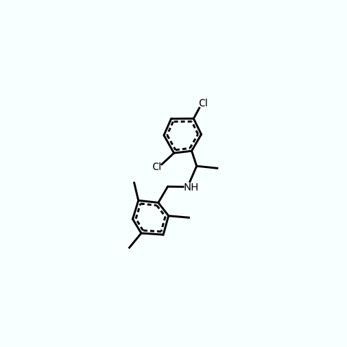 Cc1cc(C)c(CNC(C)c2cc(Cl)ccc2Cl)c(C)c1